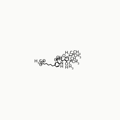 CC(C)(C)CCN1C(=O)C(C2=NP(=O)(O)c3cc(CCCCCS(C)(=O)=O)ccc3N2)=C(O)[C@@H]1C(C)(C)C